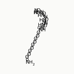 Cn1cc(NC(=O)c2nc(NC(=O)c3cc(NC(=O)c4cc(NC(=O)c5nccn5C)cn4C)cn3C)cn2C)cc1C(=O)NCCOCCOCCOCCOCCOCCOCCOCCOCCOc1ccc(N)cc1